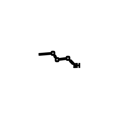 COOOS